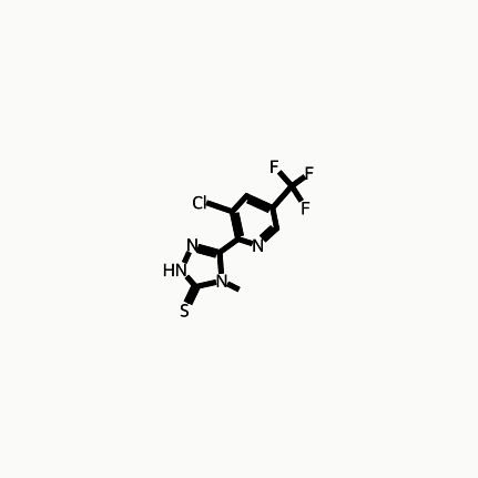 Cn1c(-c2ncc(C(F)(F)F)cc2Cl)n[nH]c1=S